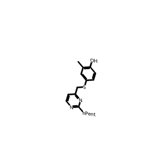 CCCCCc1nccc(CSc2ccc(O)c(C)c2)n1